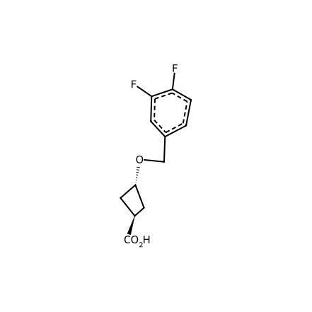 O=C(O)[C@H]1C[C@H](OCc2ccc(F)c(F)c2)C1